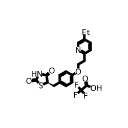 CCc1ccc(CCOc2ccc(C[C@H]3SC(=O)NC3=O)cc2)nc1.O=C(O)C(F)(F)F